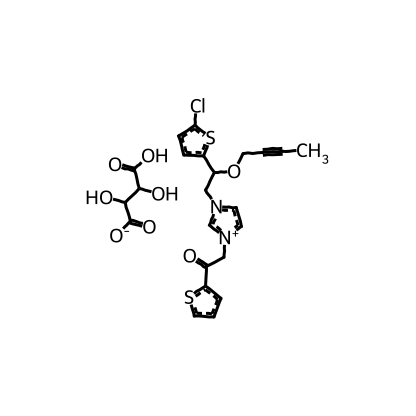 CC#CCOC(Cn1cc[n+](CC(=O)c2cccs2)c1)c1ccc(Cl)s1.O=C([O-])C(O)C(O)C(=O)O